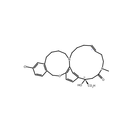 CN1CC/C=C/CCCN2CCCCc3cc(Cl)ccc3COc3ccc(cc32)[C@](O)(C(=O)O)CC1=O